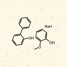 COc1ccccc1O.Oc1ccccc1-c1ccccc1.[NaH]